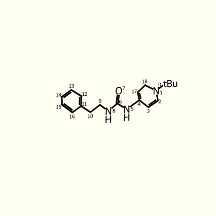 CC(C)(C)N1C=CC(NC(=O)NCCc2ccccc2)=CC1